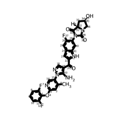 Cc1cc(Oc2c(F)cccc2F)ncc1-n1ncc(C(=O)c2cc3cc(F)c(N4C(=O)[C@@H]5C[C@@H](O)CN5C4=O)cc3[nH]2)c1N